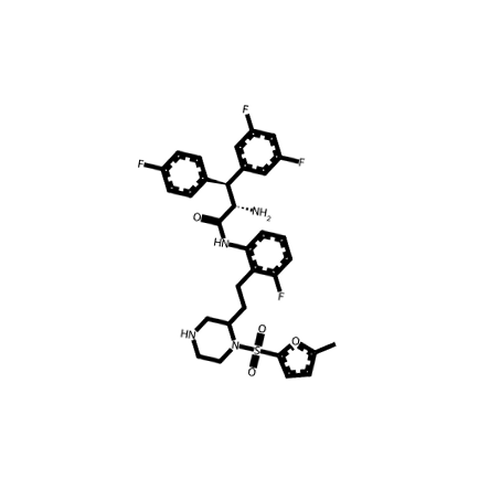 Cc1ccc(S(=O)(=O)N2CCNCC2CCc2c(F)cccc2NC(=O)[C@@H](N)[C@@H](c2ccc(F)cc2)c2cc(F)cc(F)c2)o1